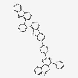 C=Cc1c(-c2ccccc2)nc(-c2ccc(-c3ccc4c(c3)oc3c(-c5ccccc5-c5cccc6c5sc5ccccc56)cccc34)cc2)nc1-c1ccccc1